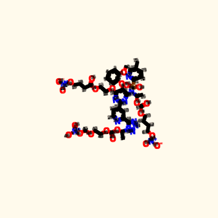 COc1ccccc1Oc1c(OCCOC(=O)CCCO[N+](=O)[O-])nc(-c2ccnc(-c3nnnn3C(C)OC(=O)OCCOCO[N+](=O)[O-])c2)nc1N(C(C)OC(=O)OCCCCO[N+](=O)[O-])S(=O)(=O)c1ccc(C)cn1